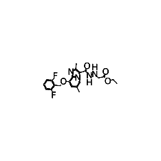 CCOC(=O)CNNC(=O)c1c(C)nc2c(OCc3c(F)cccc3F)cc(C)cn12